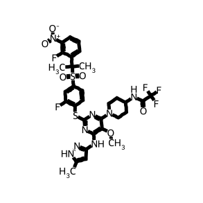 COc1c(Nc2cc(C)[nH]n2)nc(Sc2ccc(S(=O)(=O)C(C)(C)c3cccc([N+](=O)[O-])c3F)cc2F)nc1N1CCC(NC(=O)C(F)(F)F)CC1